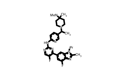 CNC1(C)CCN(C(C)c2ccc(Nc3ncc(F)c(-c4cc(F)c5nc(C)n(C(C)C)c5c4)n3)nc2)CC1